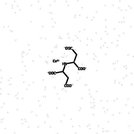 O=C([O-])CC(NC(CC(=O)[O-])C(=O)[O-])C(=O)[O-].[Ce+4]